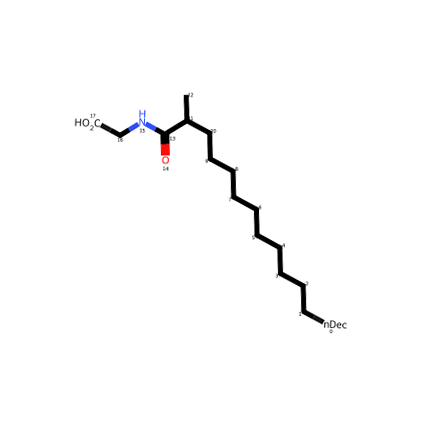 CCCCCCCCCCCCCCCCCCCCC(C)C(=O)NCC(=O)O